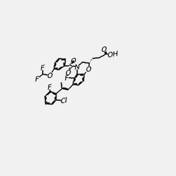 CC(=Cc1ccc2c(c1F)N(S(=O)(=O)c1cccc(OC(F)F)c1)C[C@H](CCC(=O)O)O2)c1c(F)cccc1Cl